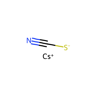 N#C[S-].[Cs+]